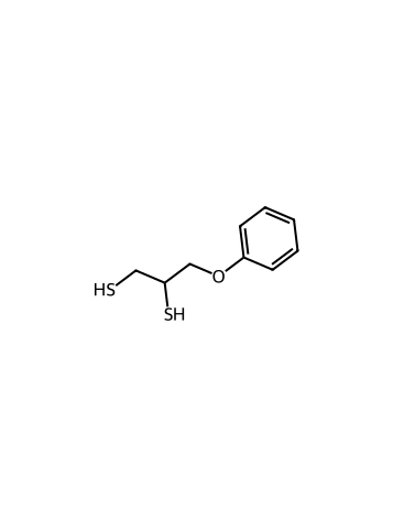 SCC(S)COc1ccccc1